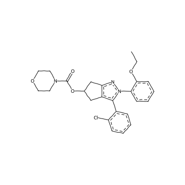 CCOc1ccccc1-n1nc2c(c1-c1ccccc1Cl)CC(OC(=O)N1CCOCC1)C2